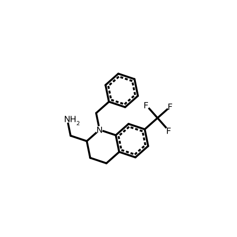 NCC1CCc2ccc(C(F)(F)F)cc2N1Cc1ccccc1